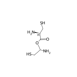 NC(CS)OC(=O)[C@@H](N)CS